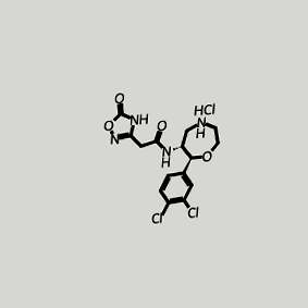 Cl.O=C(Cc1noc(=O)[nH]1)N[C@@H]1CNCCO[C@H]1c1ccc(Cl)c(Cl)c1